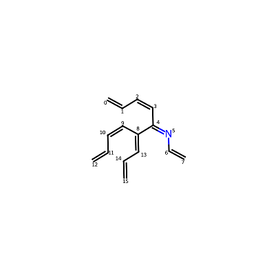 C=C\C=C/C(=N/C=C)C(/C=C\C=C)=C/C=C